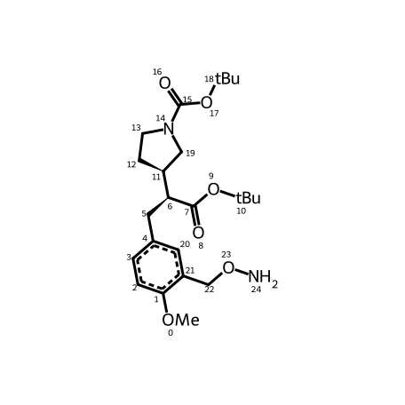 COc1ccc(C[C@H](C(=O)OC(C)(C)C)[C@H]2CCN(C(=O)OC(C)(C)C)C2)cc1CON